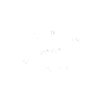 CCOC(=O)C(c1cc(C#N)cc(C#N)c1)C1CCC(F)(F)C1.N#Cc1cc(C#N)cc(C(C(=O)O)C2CCC(F)(F)C2)c1